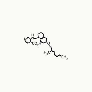 C=C/C=C\C=C(/C)CCOc1ccc2c(c1)CCCC2CNc1cnccc1C(=O)O